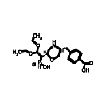 CCOC(OCC)C([C@@H]1CN[C@H](Cc2ccc(C(=O)O)cc2)CO1)[PH](=O)O